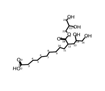 O=C(O)CCCCCCCCCC(CC(O)CO)C(=O)OCC(O)CO